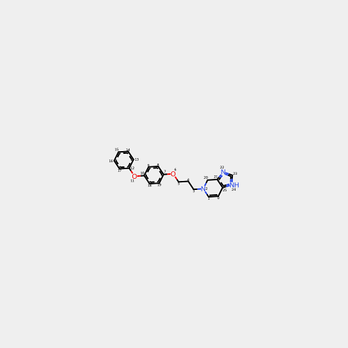 C1=CN(CCCOc2ccc(Oc3ccccc3)cc2)Cc2nc[nH]c21